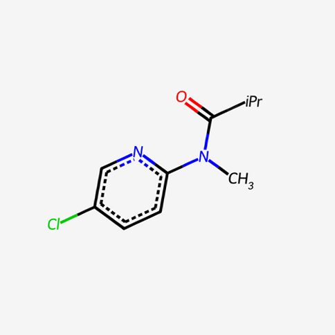 CC(C)C(=O)N(C)c1ccc(Cl)cn1